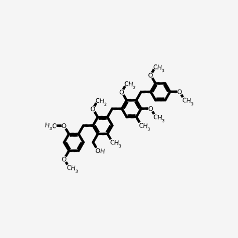 COc1ccc(Cc2c(CO)c(C)cc(Cc3cc(C)c(OC)c(Cc4ccc(OC)cc4OC)c3OC)c2OC)c(OC)c1